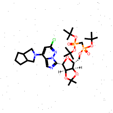 CC(C)(C)OP(=O)(CP(=O)(OC(C)(C)C)OC(C)(C)C)OC[C@H]1O[C@@H](c2ncc3c(N4CC5CCCC5C4)cc(Cl)nn23)[C@@H]2OC(C)(C)O[C@@H]21